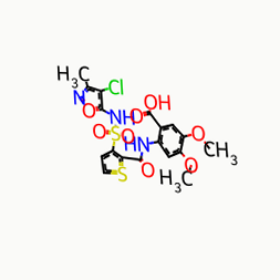 COc1cc(NC(=O)c2sccc2S(=O)(=O)Nc2onc(C)c2Cl)c(C(=O)O)cc1OC